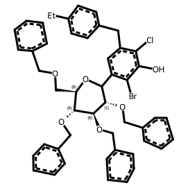 CCc1ccc(Cc2cc(C3O[C@H](COCc4ccccc4)[C@@H](OCc4ccccc4)[C@H](OCc4ccccc4)[C@H]3OCc3ccccc3)c(Br)c(O)c2Cl)cc1